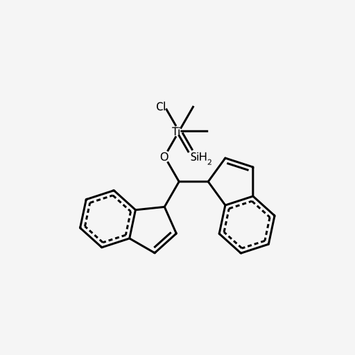 [CH3][Ti]([CH3])(=[SiH2])([Cl])[O]C(C1C=Cc2ccccc21)C1C=Cc2ccccc21